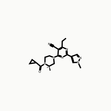 CCc1nc(-c2cnn(C)c2)nc(N2CCN(C(=O)C3CC3)[C@H](C)C2)c1C#N